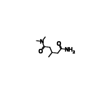 CC(CC(N)=O)CC(=O)N(C)C